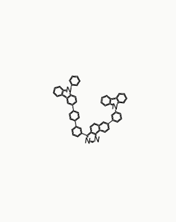 c1ccc(-n2c3ccccc3c3cc(-c4ccc(-c5cccc(-c6ncnc7c6ccc6cc(-c8cccc(-n9c%10ccccc%10c%10ccccc%109)c8)ccc67)c5)cc4)ccc32)cc1